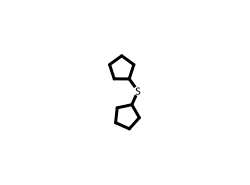 C1CCC(SC2CCCC2)C1